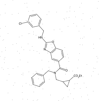 CCOC(=O)C1CC1CN(Cc1ccccc1)C(=O)c1ccc2oc(NCc3cccc(Cl)c3)nc2c1